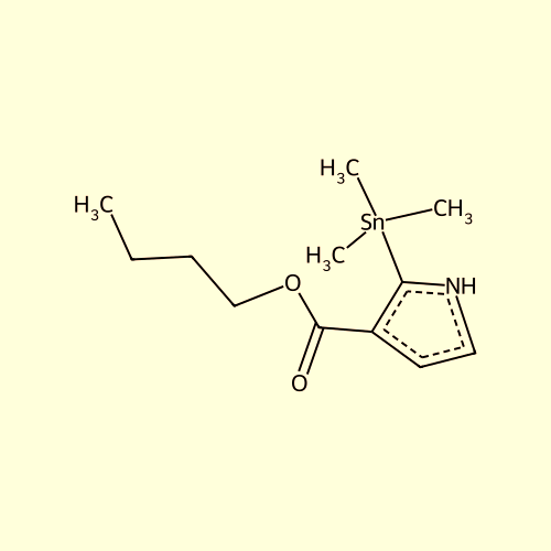 CCCCOC(=O)c1cc[nH][c]1[Sn]([CH3])([CH3])[CH3]